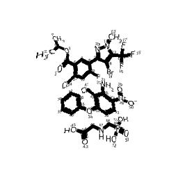 CC(C)OC(=O)c1cc(-c2nn(C)c(C(F)(F)F)c2Br)c(F)cc1Cl.Nc1c([N+](=O)[O-])ccc(Oc2ccccc2)c1Cl.O=C(O)CNCP(=O)(O)O